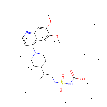 COc1cc2nccc(N3CCC(C(C)CNS(=O)(=O)NC(=O)O)CC3)c2cc1OC